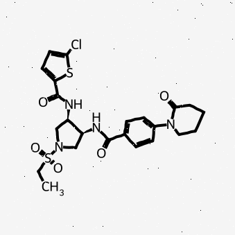 CCS(=O)(=O)N1C[C@H](NC(=O)c2ccc(N3CCCCC3=O)cc2)[C@H](NC(=O)c2ccc(Cl)s2)C1